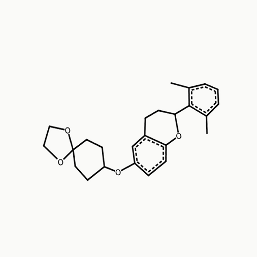 Cc1cccc(C)c1C1CCc2cc(OC3CCC4(CC3)OCCO4)ccc2O1